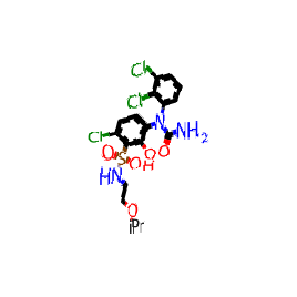 CC(C)OCCNS(=O)(=O)c1c(Cl)ccc(N(C(N)=O)c2cccc(Cl)c2Cl)c1O